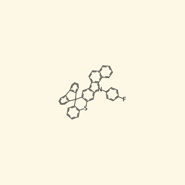 Fc1ccc(-n2c3cc4c(cc3c3ccc5ccccc5c32)C2(c3ccccc3S4)c3ccccc3-c3ccccc32)cc1